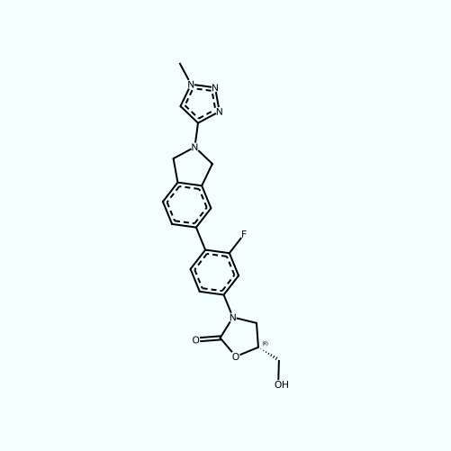 Cn1cc(N2Cc3ccc(-c4ccc(N5C[C@H](CO)OC5=O)cc4F)cc3C2)nn1